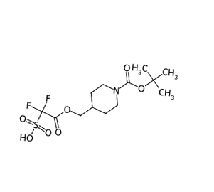 CC(C)(C)OC(=O)N1CCC(COC(=O)C(F)(F)S(=O)(=O)O)CC1